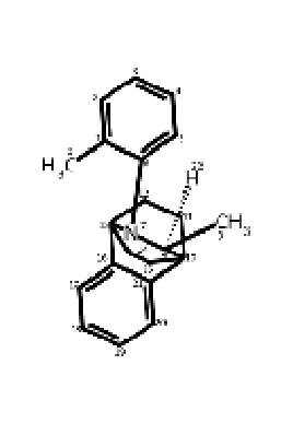 Cc1ccccc1N1[C@@H](C)C23CCC1(CC2)c1ccccc13